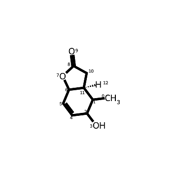 CC1C(O)C=CC2OC(=O)C[C@H]21